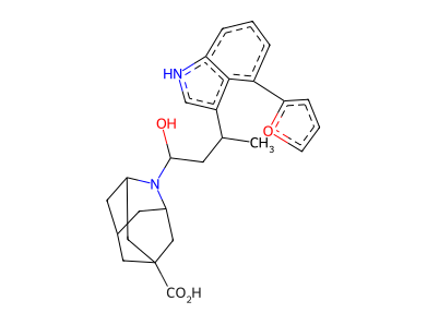 CC(CC(O)N1C2CC3CC1CC(C(=O)O)(C3)C2)c1c[nH]c2cccc(-c3ccco3)c12